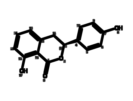 O=C1O[C@H](c2ccc(O)cc2)Cc2cccc(O)c21